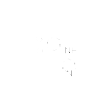 c1cc(Nc2ccc3c(c2)OCO3)ccn1